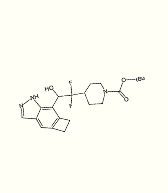 CC(C)(C)OC(=O)N1CCC(C(F)(F)C(O)c2c3c(cc4cn[nH]c24)CC3)CC1